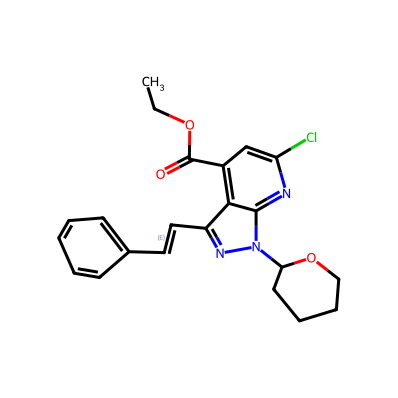 CCOC(=O)c1cc(Cl)nc2c1c(/C=C/c1ccccc1)nn2C1CCCCO1